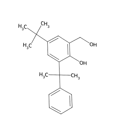 CC(C)(C)c1cc(CO)c(O)c(C(C)(C)c2ccccc2)c1